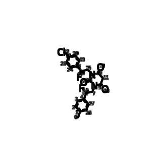 Cc1ccc([C@H](F)CN2C(=O)CC(=O)N(C[C@@H](F)c3ccc(Cl)cc3)C2=O)cc1